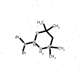 CC(C)N(C(C)C)[SiH]1OC(C)(C)C[Si](C)(C)[SiH2]1